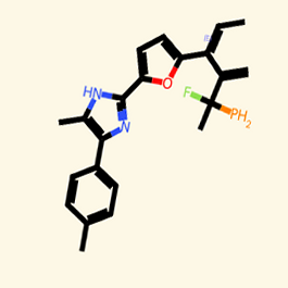 C=C(/C(=C\C)c1ccc(-c2nc(-c3ccc(C)cc3)c(C)[nH]2)o1)C(C)(F)P